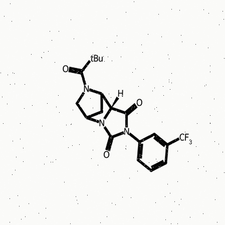 CC(C)(C)C(=O)N1CC2CC1[C@@H]1C(=O)N(c3cccc(C(F)(F)F)c3)C(=O)N21